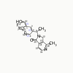 CC(/C=C(\C=N/CCF)C(C)N1Cc2c(ccnc2C)C1=O)=C\O